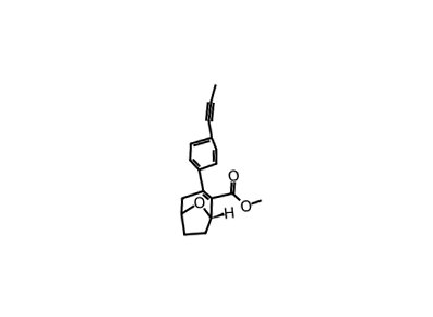 CC#Cc1ccc(C2=C(C(=O)OC)[C@@H]3CCC(C2)O3)cc1